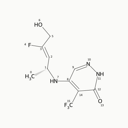 C[C@H](/C=C(\F)CO)Nc1cn[nH]c(=O)c1C(F)(F)F